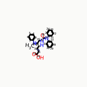 CN(c1ccccc1)[C@@H](C/C=C/C(=O)O)CNC(=O)N(c1ccccc1)c1ccccc1